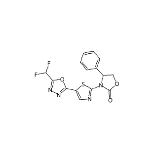 O=C1OCC(c2ccccc2)N1c1ncc(-c2nnc(C(F)F)o2)s1